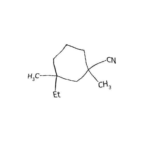 CCC1(C)CCCC(C)(C#N)C1